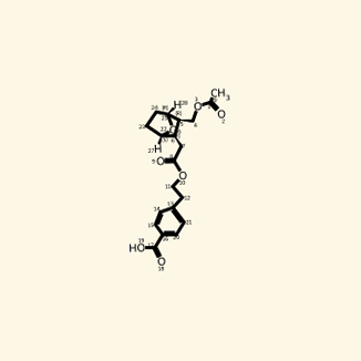 CC(=O)OC[C@H]1[C@@H](CC(=O)OCCc2ccc(C(=O)O)cc2)[C@@H]2CC[C@H]1O2